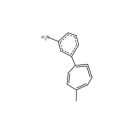 CC1=CC=C=C(c2cccc(N)c2)C=C1